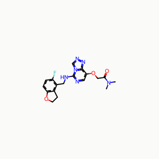 CN(C)C(=O)COc1cnc(NCc2c(F)ccc3c2CCO3)n2cnnc12